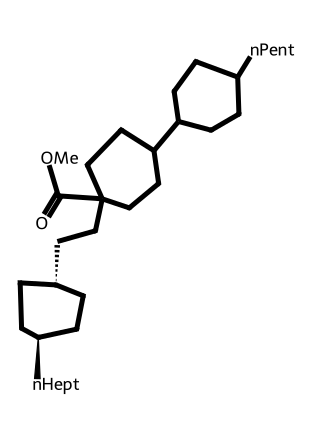 CCCCCCC[C@H]1CC[C@H](CCC2(C(=O)OC)CCC(C3CCC(CCCCC)CC3)CC2)CC1